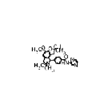 COc1cc2c(c3c1OC(C)(C)C3)C(c1ccc(C(=O)Nc3cnccn3)cc1)=NC(C)(C)C2